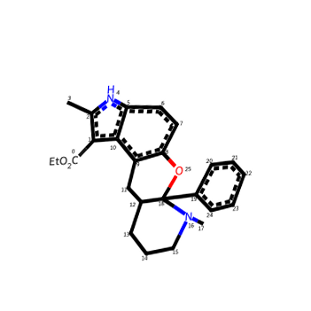 CCOC(=O)c1c(C)[nH]c2ccc3c(c12)CC1CCCN(C)C1(c1ccccc1)O3